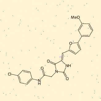 COc1cccc(-c2ccc(/C=C3\NC(=O)N(CC(=O)Nc4ccc(Cl)cc4)C3=O)o2)c1